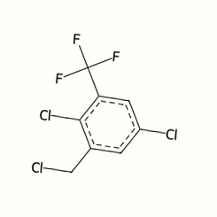 FC(F)(F)c1cc(Cl)cc(CCl)c1Cl